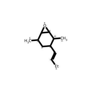 CCC=CC1CC(C)C2OC2C1C